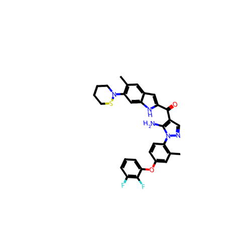 Cc1cc2cc(C(=O)c3cnn(-c4ccc(Oc5cccc(F)c5F)cc4C)c3N)[nH]c2cc1N1CCCCS1